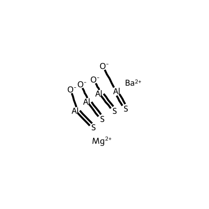 [Ba+2].[Mg+2].[O-][Al]=[S].[O-][Al]=[S].[O-][Al]=[S].[O-][Al]=[S]